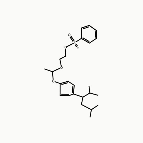 CC(C)CC(c1ccc(OC(C)OCCOS(=O)(=O)c2ccccc2)cc1)C(C)C